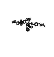 N#Cc1c(C2CN(S(=O)(=O)N3CCC(O)C3)CC2=O)nn(C(=O)c2cccs2)c1SCc1ccc(CN)cc1